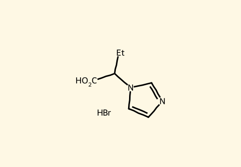 Br.CCC(C(=O)O)n1ccnc1